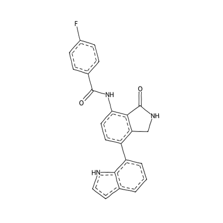 O=C(Nc1ccc(-c2cccc3cc[nH]c23)c2c1C(=O)NC2)c1ccc(F)cc1